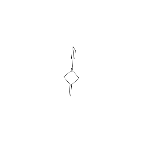 C=C1CB(C#N)C1